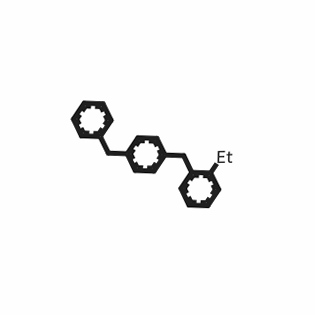 CCc1ccccc1Cc1ccc(Cc2ccccc2)cc1